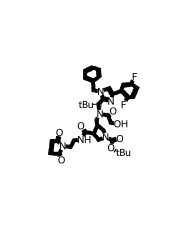 CC(C)(C)OC(=O)N1CC(CN(C(=O)CO)[C@@H](c2nc(-c3cc(F)ccc3F)cn2Cc2ccccc2)C(C)(C)C)C(C(=O)NCCN2C(=O)C=CC2=O)C1